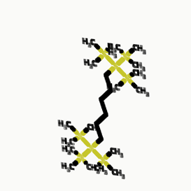 CS(C)(C)S(CCCCCCS(S(C)(C)C)(S(C)(C)C)S(C)(C)C)(S(C)(C)C)S(C)(C)C